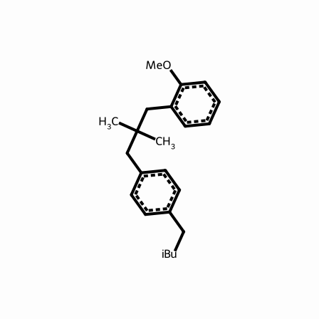 CCC(C)Cc1ccc(CC(C)(C)Cc2ccccc2OC)cc1